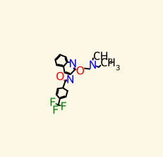 CCN(CC)CCOc1nc2ccccc2c2oc(C3C=CC(C(F)(F)F)=CC3)nc12